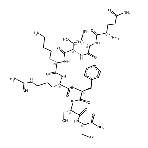 CC(C)C[C@H](NC(=O)[C@H](CO)NC(=O)[C@H](Cc1ccccc1)NC(=O)[C@H](CCCNC(=N)N)NC(=O)[C@H](CCCCN)NC(=O)[C@@H](NC(=O)[C@H](CC(C)C)NC(=O)[C@@H](N)CCC(N)=O)[C@@H](C)O)C(N)=O